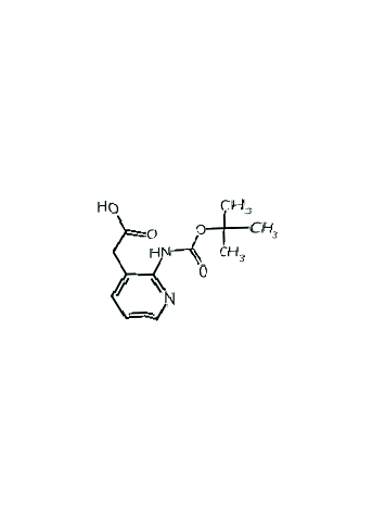 CC(C)(C)OC(=O)Nc1ncccc1CC(=O)O